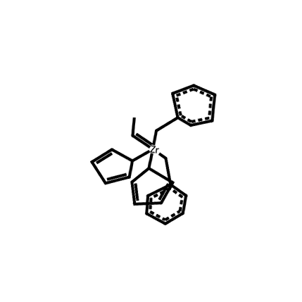 C[CH]=[Zr]([CH2]c1ccccc1)([CH2]c1ccccc1)([CH]1C=CC=C1)[CH]1C=CC=C1